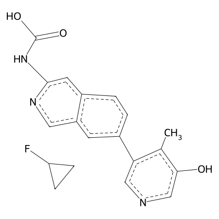 Cc1c(O)cncc1-c1ccc2cc(NC(=O)O)ncc2c1.FC1CC1